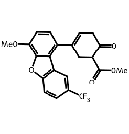 COC(=O)C1CC(c2ccc(OC)c3oc4ccc(C(F)(F)F)cc4c23)=CCC1=O